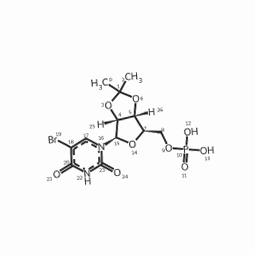 CC1(C)O[C@@H]2[C@H](O1)[C@@H](COP(=O)(O)O)O[C@H]2n1cc(Br)c(=O)[nH]c1=O